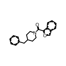 O=C(c1occ2ccccc12)N1CCC(Cc2ccccc2)CC1